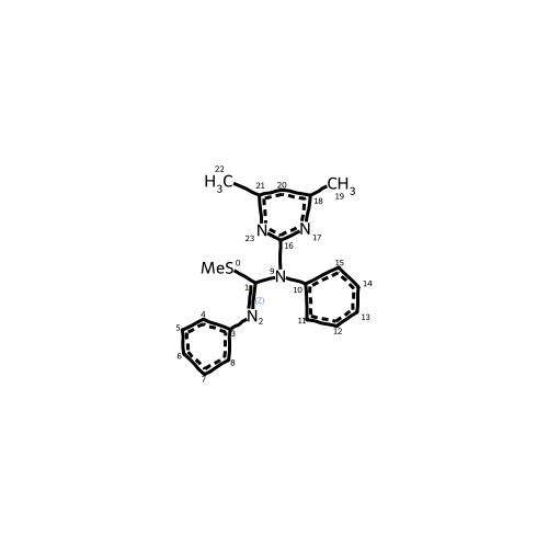 CS/C(=N\c1ccccc1)N(c1ccccc1)c1nc(C)cc(C)n1